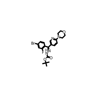 CC(C)(C)OC(=O)NN=C(c1ccc(N2CCOCC2)nc1)c1ccc(Br)cc1F